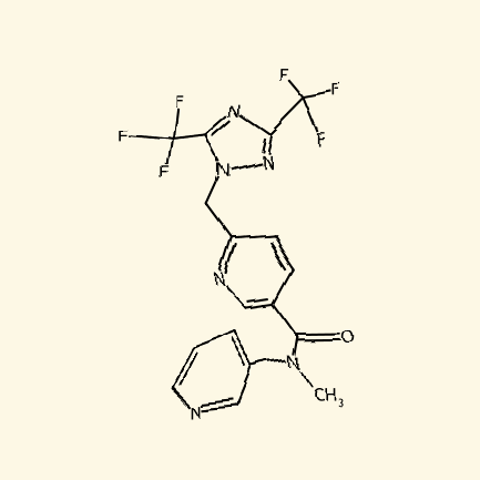 CN(C(=O)c1ccc(Cn2nc(C(F)(F)F)nc2C(F)(F)F)nc1)c1cccnc1